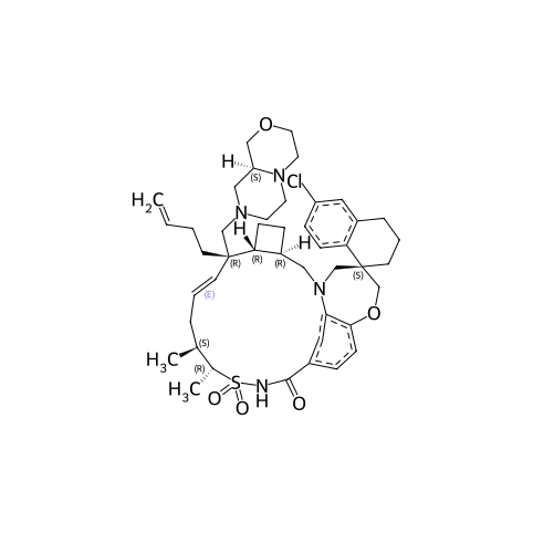 C=CCC[C@]1(CN2CCN3CCOC[C@@H]3C2)/C=C/C[C@H](C)[C@@H](C)S(=O)(=O)NC(=O)c2ccc3c(c2)N(C[C@@H]2CC[C@H]21)C[C@@]1(CCCc2cc(Cl)ccc21)CO3